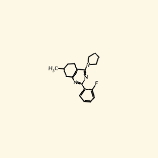 CC1CCc2c(nc(-c3ccccc3F)nc2N2CCCC2)C1